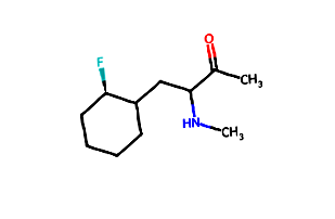 CNC(CC1CCCC[C@H]1F)C(C)=O